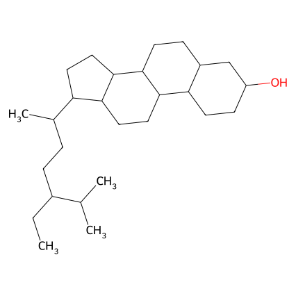 CCC(CCC(C)C1CCC2C1CCC1C3CCC(O)CC3CCC12)C(C)C